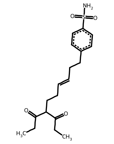 CCC(=O)C(CC/C=C/CCc1ccc(S(N)(=O)=O)cc1)C(=O)CC